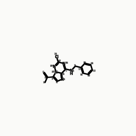 C=C(C)c1cnc2c(NCc3ccccc3)nc(Cl)nn12